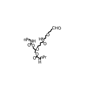 CCCNC(=O)OCC(COC(=O)NCCC)OCCCC(=O)NCCOCCCC=O